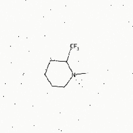 CN1[CH]CCCC1C(F)(F)F